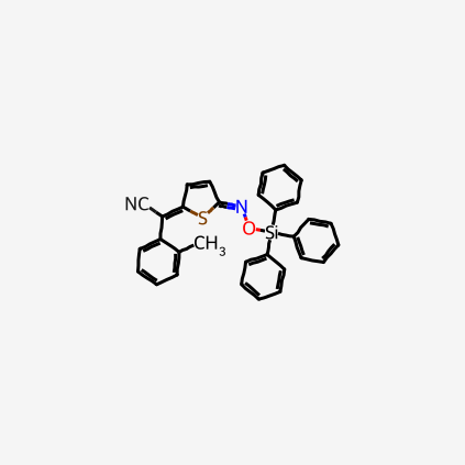 Cc1ccccc1C(C#N)=C1C=CC(=NO[Si](c2ccccc2)(c2ccccc2)c2ccccc2)S1